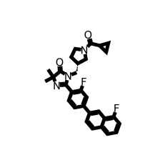 CC1(C)N=C(c2ccc(-c3ccc4cccc(F)c4c3)cc2F)N(C[C@@H]2CCN(C(=O)C3CC3)C2)C1=O